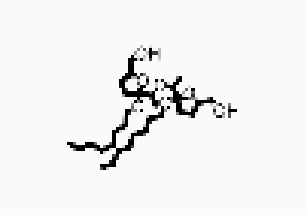 CCCCCCCCOC1(C(C)OC(C)C2(OCCCCCCCC)CCC(CO)O2)CCC(CO)O1